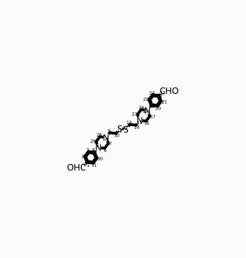 O=Cc1ccc(N2CCN(CCSSCCN3CCN(c4ccc(C=O)cc4)CC3)CC2)cc1